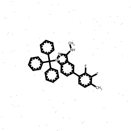 CNc1nn(C(c2ccccc2)(c2ccccc2)c2ccccc2)c2ccc(-c3ccc(C)c(F)c3F)cc12